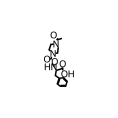 CC(=O)N1CCN(C(=O)ONC(Cc2ccccc2)C(=O)O)CC1